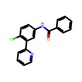 O=C(Nc1ccc(Cl)c(-c2ccccn2)c1)c1ccccc1